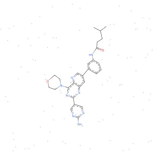 CC(C)CCC(=O)Nc1cccc(-c2cnc3c(N4CCOCC4)nc(-c4cnc(N)nc4)nc3c2)c1